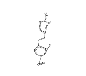 COc1ccc(/C=C/c2cnc(Cl)nc2)c(F)c1